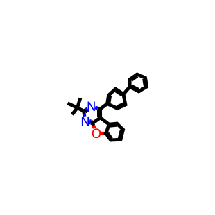 CC(C)(C)c1nc(-c2ccc(-c3ccccc3)cc2)c2c(n1)oc1ccccc12